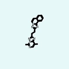 Cc1cnc(C)n2nc(CCc3nc4c5ccccc5ccn4n3)nc12